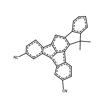 CC1(C)c2ccccc2-c2cc3c4ccc(C#N)cc4n4c5cc(C#N)ccc5c(c21)c34